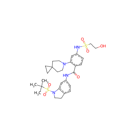 CC(C)(C)S(=O)(=O)N1CCc2ccc(NC(=O)c3ccc(NS(=O)(=O)CCO)cc3N3CCC4(CC3)CC4)cc21